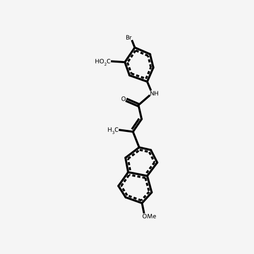 COc1ccc2cc(/C(C)=C/C(=O)Nc3ccc(Br)c(C(=O)O)c3)ccc2c1